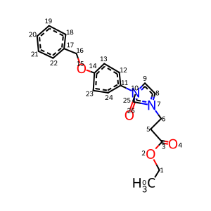 CCOC(=O)CCn1ccn(-c2ccc(OCc3ccccc3)cc2)c1=O